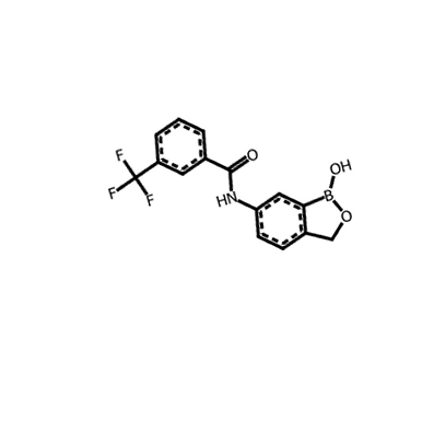 O=C(Nc1ccc2c(c1)B(O)OC2)c1cccc(C(F)(F)F)c1